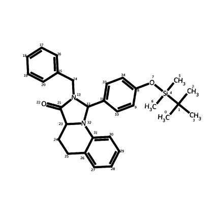 CC(C)(C)[Si](C)(C)Oc1ccc(C2N(Cc3ccccc3)C(=O)C3CCc4ccccc4N32)cc1